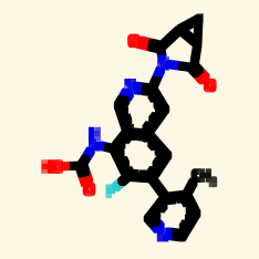 Cc1ccncc1-c1cc2cc(N3C(=O)C4CC4C3=O)ncc2c(NC(=O)O)c1F